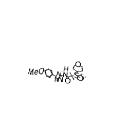 COc1ccc(-c2nc(NC(=O)C(C)(C)[S+]([O-])C3CCOCC3)n(C)n2)cc1